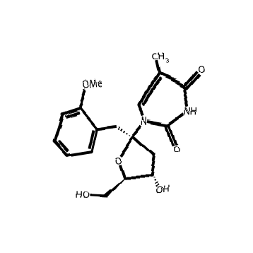 COc1ccccc1C[C@]1(n2cc(C)c(=O)[nH]c2=O)C[C@H](O)[C@@H](CO)O1